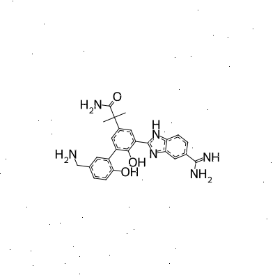 CC(C)(C(N)=O)c1cc(-c2nc3cc(C(=N)N)ccc3[nH]2)c(O)c(-c2cc(CN)ccc2O)c1